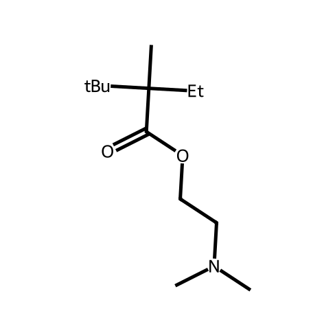 CCC(C)(C(=O)OCCN(C)C)C(C)(C)C